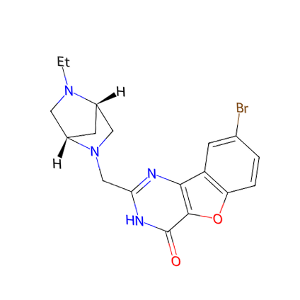 CCN1C[C@@H]2C[C@H]1CN2Cc1nc2c(oc3ccc(Br)cc32)c(=O)[nH]1